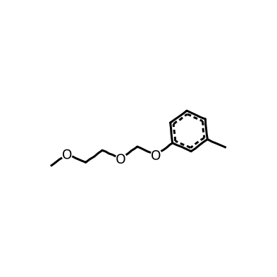 COCCOCOc1cccc(C)c1